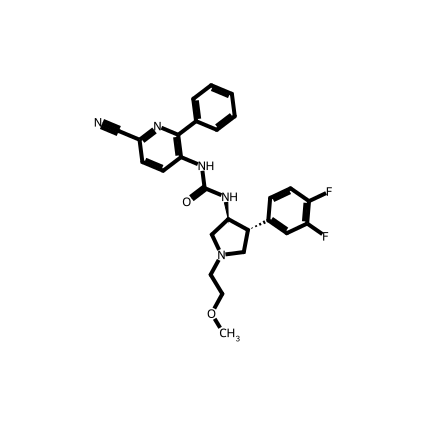 COCCN1C[C@@H](NC(=O)Nc2ccc(C#N)nc2-c2ccccc2)[C@H](c2ccc(F)c(F)c2)C1